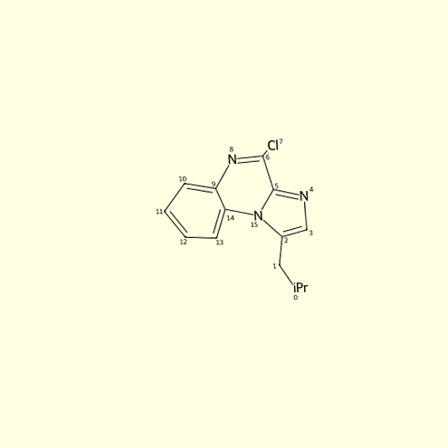 CC(C)Cc1cnc2c(Cl)nc3ccccc3n12